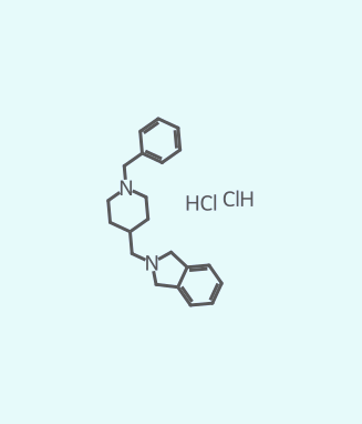 Cl.Cl.c1ccc(CN2CCC(CN3Cc4ccccc4C3)CC2)cc1